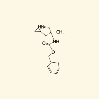 CC(C=N)(CC1CC1)NC(=O)OCC1C=CC=CC1